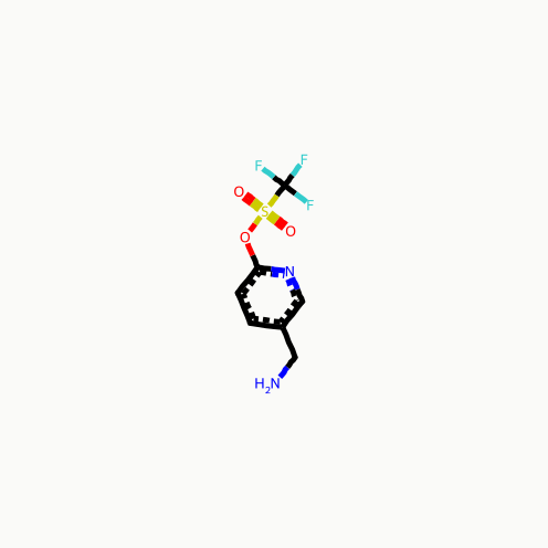 NCc1ccc(OS(=O)(=O)C(F)(F)F)nc1